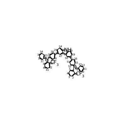 FC(F)(F)c1ccccc1N(c1ccccc1)c1ccc(-c2ccc3[nH]c4ccc(-c5ccc(N(c6ccccc6)c6ccccc6C(F)(F)F)cc5)cc4c3c2)cc1